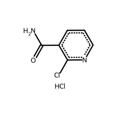 Cl.NC(=O)c1cccnc1Cl